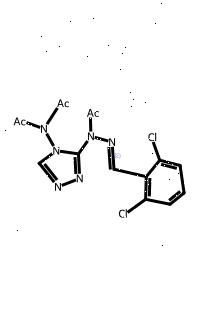 CC(=O)N(/N=C/c1c(Cl)cccc1Cl)c1nncn1N(C(C)=O)C(C)=O